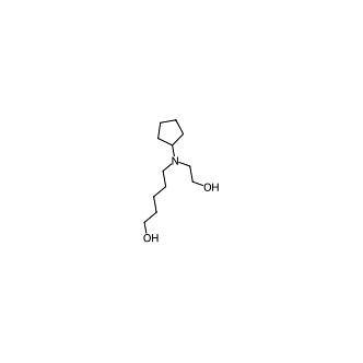 OCCCCCN(CCO)C1CCCC1